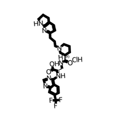 Cl.O=C(NC[C@H](Nc1ncnc2cc(C(F)(F)F)ccc12)C(=O)O)[C@@H]1CCCN(CCCc2ccc3c(n2)NCCC3)C1